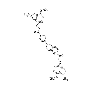 C[C@H]1C[C@@H](C(=O)OCC(=O)c2ccc(-c3ccc4nc(C(=O)COC(=O)[C@@H]5CC[C@H](C)N5C(=O)OC(C)(C)C)ccc4c3)cc2)N(C(=O)OC(C)(C)C)C1